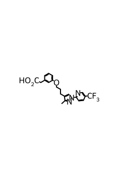 Cc1nn(-c2ccc(C(F)(F)F)cn2)cc1CCCOc1cccc(CC(=O)O)c1